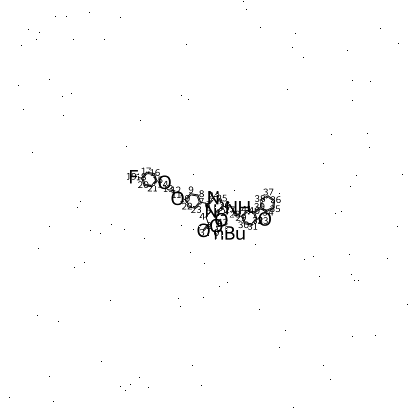 CCCCOC(=O)Cn1c(-c2ccc(OCCOc3ccc(F)cc3)cc2)ncc(NCc2ccc3oc4ccccc4c3c2)c1=O